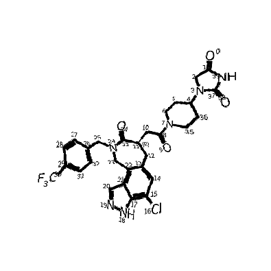 O=C1CN(C2CCN(C(=O)C[C@H]3Cc4cc(Cl)c5[nH]ncc5c4CN(Cc4ccc(C(F)(F)F)cc4)C3=O)CC2)C(=O)N1